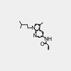 C=CC(=O)Nc1cnc2c(c1)c(C)cn2CCC(C)C